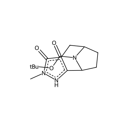 Cn1[nH]c2c(c1=O)CC1CCC2N1C(=O)OC(C)(C)C